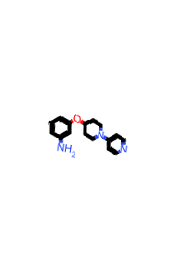 Nc1cccc(OC2CCN(c3ccncc3)CC2)c1